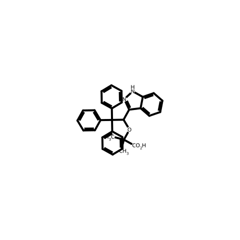 CC(C)(OC(c1n[nH]c2ccccc12)C(c1ccccc1)(c1ccccc1)c1ccccc1)C(=O)O